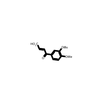 COc1ccc(C(=O)/C=C/C(=O)O)cc1OCC(C)C